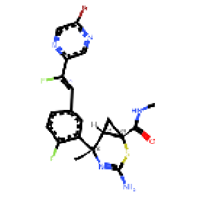 CNC(=O)[C@]12C[C@H]1[C@@](C)(c1cc(/C=C(\F)c3cnc(Br)cn3)ccc1F)N=C(N)S2